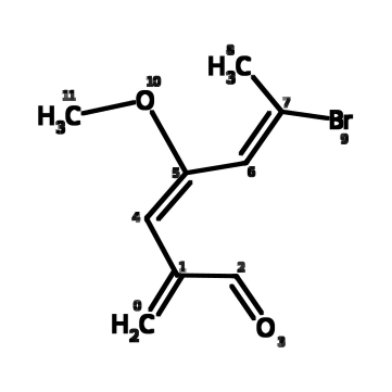 C=C(C=O)/C=C(\C=C(/C)Br)OC